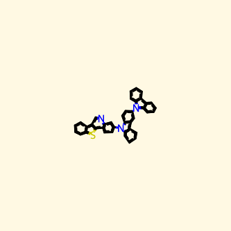 c1ccc2c(c1)sc1c3ccc(-n4c5ccccc5c5cc(-n6c7ccccc7c7ccccc76)ccc54)cc3ncc21